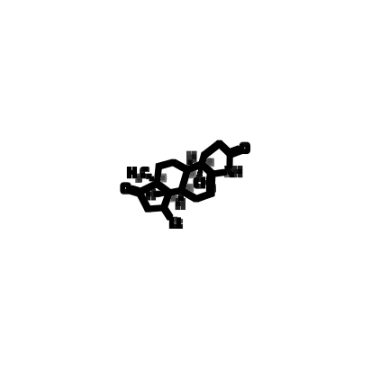 CCC1CC(=O)[C@@]2(C)CC[C@@H]3[C@@H](CC=C4NC(=O)CC[C@@]43C)[C@H]12